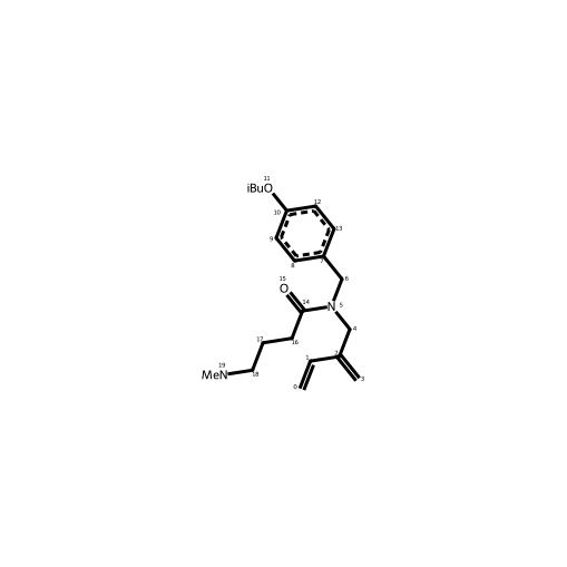 C=CC(=C)CN(Cc1ccc(OCC(C)C)cc1)C(=O)CCCNC